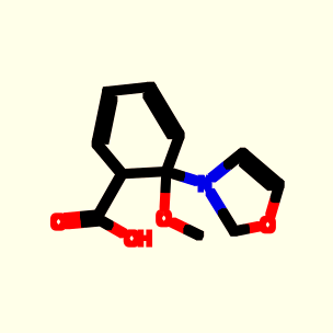 COC1(N2C=COC2)C=CC=CC1C(=O)O